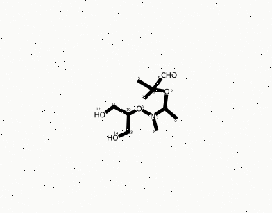 CC(OC(C)(C)C=O)N(C)OC(CO)CO